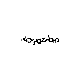 O=C(NC1CCN(CC(F)(F)F)CC1)c1ccc2c(c1)sc1nc(-c3ccc(C4CCCN4)cc3F)cn12